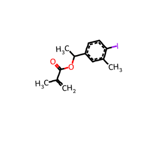 C=C(C)C(=O)OC(C)c1ccc(I)c(C)c1